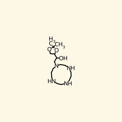 CC1(C)OCC(C(O)CN2CCCNCCNCCCNCC2)O1